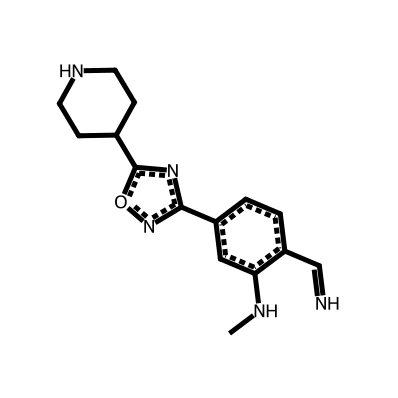 CNc1cc(-c2noc(C3CCNCC3)n2)ccc1C=N